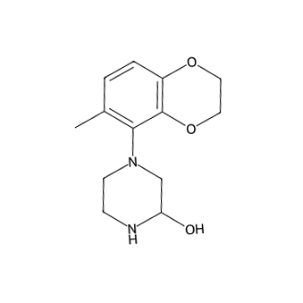 Cc1ccc2c(c1N1CCNC(O)C1)OCCO2